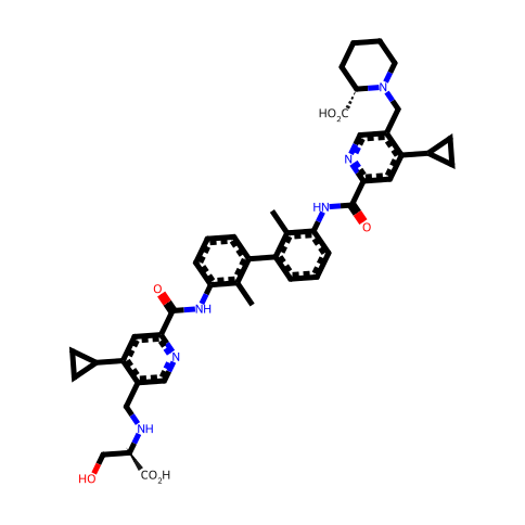 Cc1c(NC(=O)c2cc(C3CC3)c(CN[C@H](CO)C(=O)O)cn2)cccc1-c1cccc(NC(=O)c2cc(C3CC3)c(CN3CCCC[C@H]3C(=O)O)cn2)c1C